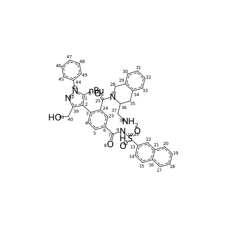 CCCCc1c(-c2ccc(C(=O)NS(=O)(=O)c3ccc4ccccc4c3)cc2C(=O)N2Cc3ccccc3CC2CN)c(CO)nn1-c1ccccc1